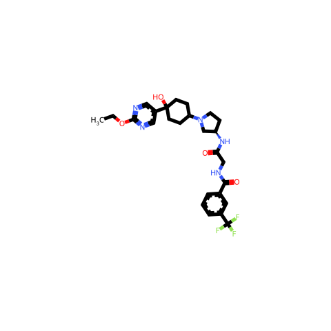 CCOc1ncc(C2(O)CCC(N3CC[C@@H](NC(=O)CNC(=O)c4cccc(C(F)(F)F)c4)C3)CC2)cn1